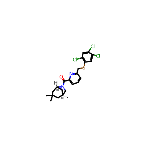 CC1(C)C[C@@H]2C[C@@](C)(CN2C(=O)c2cccc(CSc3cc(Cl)c(Cl)cc3Cl)n2)C1